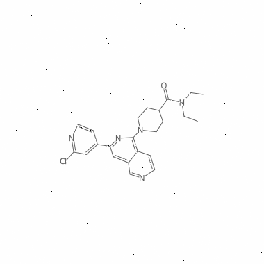 CCN(CC)C(=O)C1CCN(c2nc(-c3ccnc(Cl)c3)cc3cnccc23)CC1